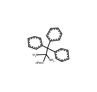 CCCCCC(N)(N)C(c1ccccc1)(c1ccccc1)c1ccccc1